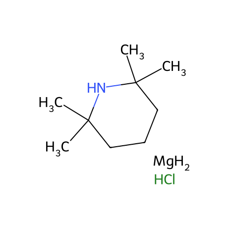 CC1(C)CCCC(C)(C)N1.Cl.[MgH2]